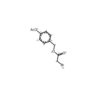 CC(=O)Oc1ccc(COC(=O)CBr)cc1